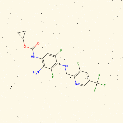 Nc1c(NC(=O)OC2CC2)cc(F)c(NCc2ncc(C(F)(F)F)cc2F)c1F